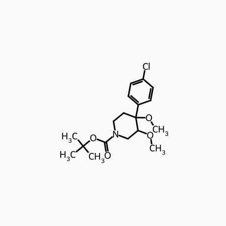 COC1CN(C(=O)OC(C)(C)C)CCC1(OC)c1ccc(Cl)cc1